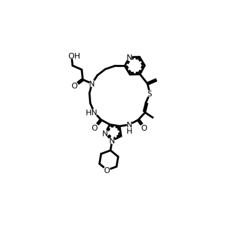 C=C1S/C=C(\C)C(=O)Nc2cn(C3CCOCC3)nc2C(=O)NCCN(C(=O)CCO)CCCc2cc1ccn2